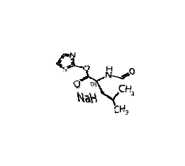 CC(C)C[C@H](NC=O)C(=O)Oc1nccs1.[NaH]